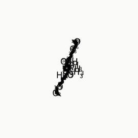 CC1(C(=O)NCCCCOCC2CO2)CCC(C(=O)NCCCCOCC2CO2)C1(C)C